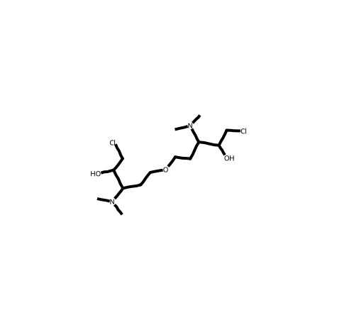 CN(C)C(CCOCCC(C(O)CCl)N(C)C)C(O)CCl